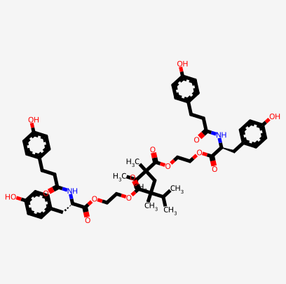 CC(C)C(C)(CC(C)(C(=O)OCCOC(=O)[C@H](Cc1ccc(O)cc1)NC(=O)CCc1ccc(O)cc1)C(C)C)C(=O)OCCOC(=O)[C@H](Cc1ccc(O)cc1)NC(=O)CCc1ccc(O)cc1